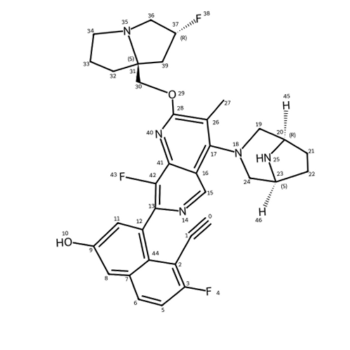 C#Cc1c(F)ccc2cc(O)cc(-c3ncc4c(N5C[C@H]6CC[C@@H](C5)N6)c(C)c(OC[C@@]56CCCN5C[C@H](F)C6)nc4c3F)c12